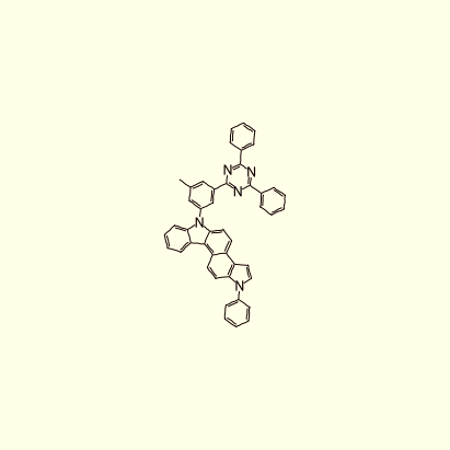 Cc1cc(-c2nc(-c3ccccc3)nc(-c3ccccc3)n2)cc(-n2c3ccccc3c3c4ccc5c(ccn5-c5ccccc5)c4ccc32)c1